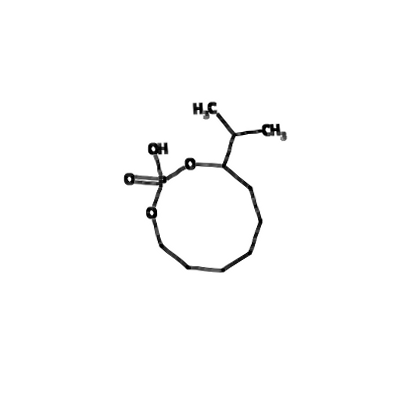 CC(C)C1CCCCCCOP(=O)(O)O1